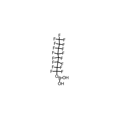 OB(O)OC(F)(F)C(F)(F)C(F)(F)C(F)(F)C(F)(F)C(F)(F)C(F)(F)C(F)(F)F